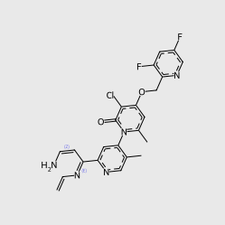 C=C/N=C(\C=C/N)c1cc(-n2c(C)cc(OCc3ncc(F)cc3F)c(Cl)c2=O)c(C)cn1